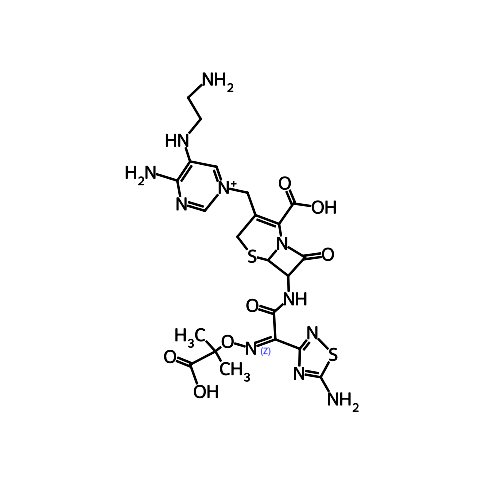 CC(C)(O/N=C(\C(=O)NC1C(=O)N2C(C(=O)O)=C(C[n+]3cnc(N)c(NCCN)c3)CSC12)c1nsc(N)n1)C(=O)O